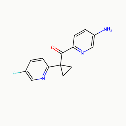 Nc1ccc(C(=O)C2(c3ccc(F)cn3)CC2)nc1